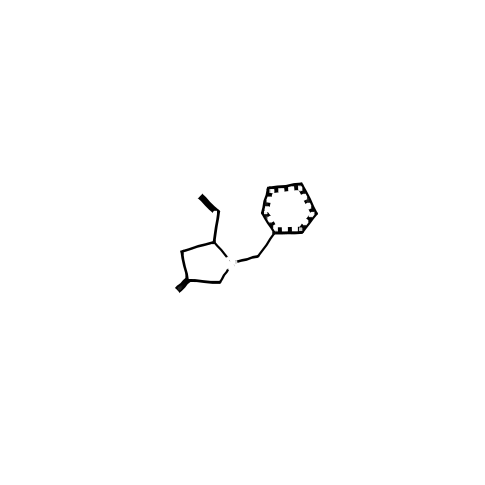 C=CC1CC(=O)CN1Cc1ccccc1